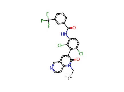 CCn1c(=O)c(-c2c(Cl)ccc(NC(=O)c3cccc(C(F)(F)F)c3)c2Cl)cc2cnccc21